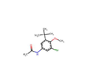 COc1c(Br)cc(NC(C)=O)cc1C(C)(C)C